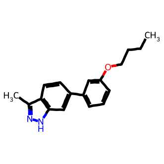 CCCCOc1cccc(-c2ccc3c(C)n[nH]c3c2)c1